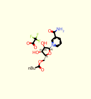 CCCCC(=O)OC[C@H]1O[C@@H]([n+]2cccc(C(N)=O)c2)[C@H](O)[C@@H]1O.O=C([O-])C(F)(F)F